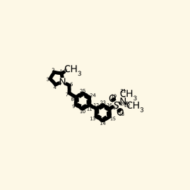 CC1CCCN1CCc1ccc(-c2cccc(S(=O)(=O)N(C)C)c2)cc1